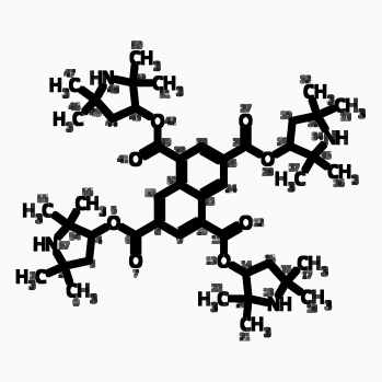 CC1(C)CC(OC(=O)c2cc(C(=O)OC3CC(C)(C)NC3(C)C)c3cc(C(=O)OC4CC(C)(C)NC4(C)C)cc(C(=O)OC4CC(C)(C)NC4(C)C)c3c2)C(C)(C)N1